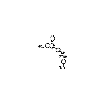 CN(C)C(=O)c1ccc(NC(=O)Nc2ccc(-c3nc(N4CCOCC4)c4ccc(CO)cc4n3)cc2)cc1